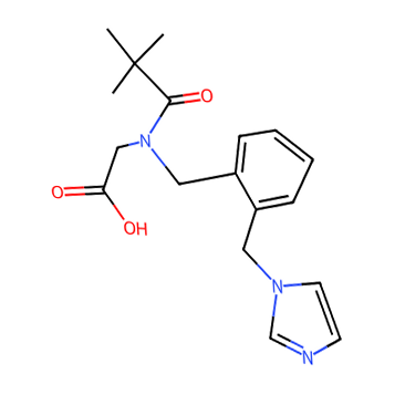 CC(C)(C)C(=O)N(CC(=O)O)Cc1ccccc1Cn1ccnc1